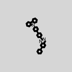 c1ccc(-c2ccc3cnc(-c4ccc(-c5ccc(-n6c7ccccc7c7ccccc76)cc5)cc4)nc3c2)cc1